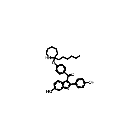 CCCCCCC1(Oc2ccc(C(=O)c3c(-c4ccc(O)cc4)sc4cc(O)ccc34)cc2)CCCCCN1